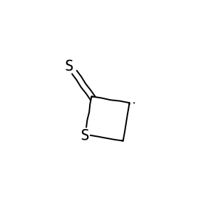 S=C1[CH]CS1